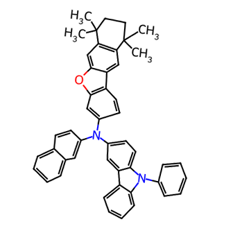 CC1(C)CCC(C)(C)c2cc3c(cc21)oc1cc(N(c2ccc4ccccc4c2)c2ccc4c(c2)c2ccccc2n4-c2ccccc2)ccc13